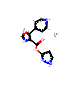 O=C(Oc1cc[nH]n1)c1ncoc1-c1ccncc1.[LiH]